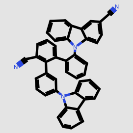 N#Cc1ccc2c(c1)c1ccccc1n2-c1ccccc1-c1cccc(C#N)c1-c1cccc(-n2c3ccccc3c3ccccc32)c1